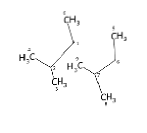 CCC(C)C.CCC(C)C